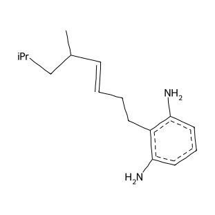 CC(C)CC(C)/C=C/CCc1c(N)cccc1N